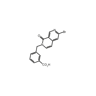 O=C(O)c1cccc(Cn2ccc3cc(Br)ncc3c2=O)c1